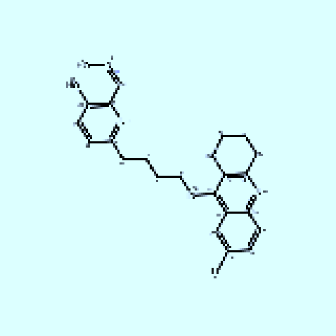 O/N=C\c1nc(CCCCNc2c3c(nc4ccc(Cl)cc24)CCCC3)ccc1O